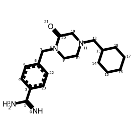 N=C(N)c1ccc(CN2CCN(CC3CCCCC3)CC2=O)cc1